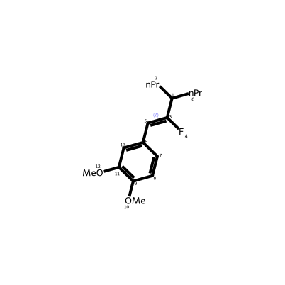 CCCC(CCC)/C(F)=C/c1ccc(OC)c(OC)c1